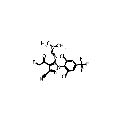 CN(C)C=Nc1c(C(=O)CF)c(C#N)nn1-c1c(Cl)cc(C(F)(F)F)cc1Cl